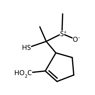 C[S+]([O-])C(C)(S)C1CCC=C1C(=O)O